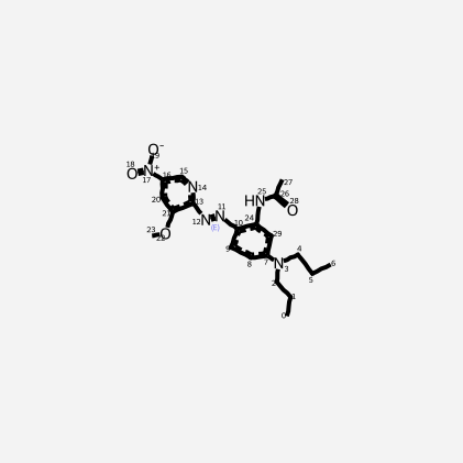 CCCN(CCC)c1ccc(/N=N/c2ncc([N+](=O)[O-])cc2OC)c(NC(C)=O)c1